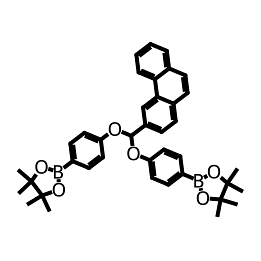 CC1(C)OB(c2ccc(OC(Oc3ccc(B4OC(C)(C)C(C)(C)O4)cc3)c3ccc4ccc5ccccc5c4c3)cc2)OC1(C)C